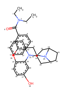 CCN(CC)C(=O)c1ccc2c(c1)Oc1ccc(O)cc1N2C1CC2CCC(C1)N2CCc1ccccc1